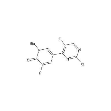 CCC(C)n1cc(-c2nc(Cl)ncc2F)cc(F)c1=O